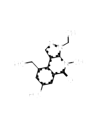 CCn1ncc2c3c(CO)cc(C)cc3c(=O)n(C)c21